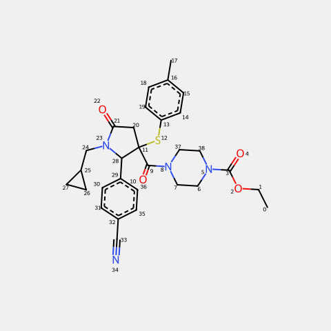 CCOC(=O)N1CCN(C(=O)C2(Sc3ccc(C)cc3)CC(=O)N(CC3CC3)C2c2ccc(C#N)cc2)CC1